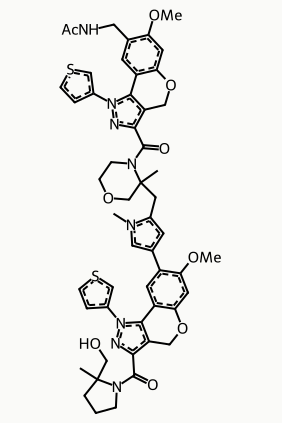 COc1cc2c(cc1CNC(C)=O)-c1c(c(C(=O)N3CCOCC3(C)Cc3cc(-c4cc5c(cc4OC)OCc4c(C(=O)N6CCCC6(C)CO)nn(-c6ccsc6)c4-5)cn3C)nn1-c1ccsc1)CO2